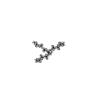 CC(C)(C)OC(=O)COC(=O)CCC(=O)OCC12CC3CC(COC(=O)CCC(=O)OCC(=O)OC(C)(C)C)(C1)CC(COC(=O)CCC(=O)OCC(=O)OC(C)(C)C)(C3)C2